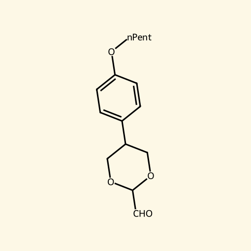 CCCCCOc1ccc(C2COC(C=O)OC2)cc1